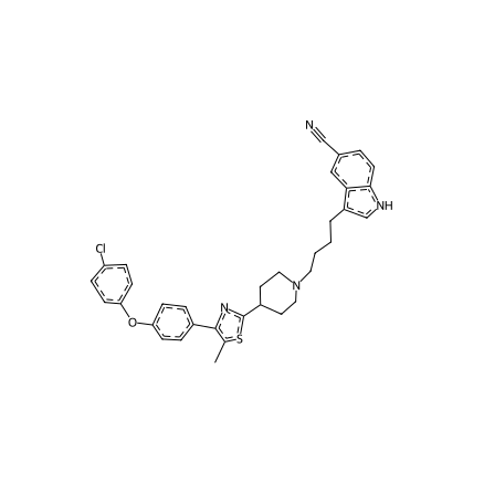 Cc1sc(C2CCN(CCCCc3c[nH]c4ccc(C#N)cc34)CC2)nc1-c1ccc(Oc2ccc(Cl)cc2)cc1